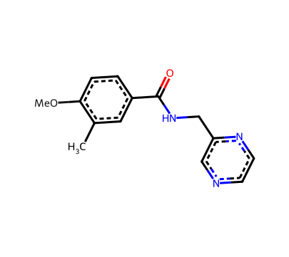 COc1ccc(C(=O)NCc2cnccn2)cc1C